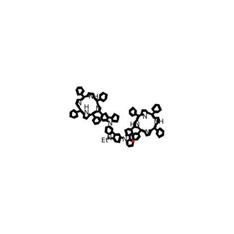 CCn1c2ccc(-n3c4ccccc4c4cc(C5=CC6=NC/5=C(/c5ccccc5)C5C=C/C(=C(\c7ccccc7)C7=N/C(=C(/c8ccccc8)C8C=C/C(=C/6c6ccccc6)N8)C=C7)N5)ccc43)cc2c2cc(-n3c4ccccc4c4cc(C5=C/C6=C(\c7ccccc7)C7=NC(C=C7)/C(c7ccccc7)=c7/cc/c([nH]7)=C(\c7ccccc7)C7=N/C(=C(/c8ccccc8)C5N6)C=C7)ccc43)ccc21